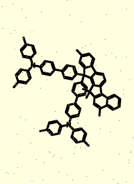 Cc1ccc(N(c2ccc(C)cc2)c2ccc(-c3ccc(C4(c5ccc(-c6ccc(N(c7ccc(C)cc7)c7ccc(C)cc7)cc6)cc5)c5cc(C)ccc5-c5ccc6c(c54)C(C)(C)c4cc(C)c5ccccc5c4-6)cc3)cc2)cc1